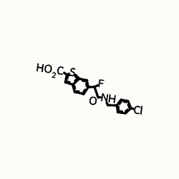 O=C(O)c1cc2ccc(C(F)C(=O)NCc3ccc(Cl)cc3)cc2s1